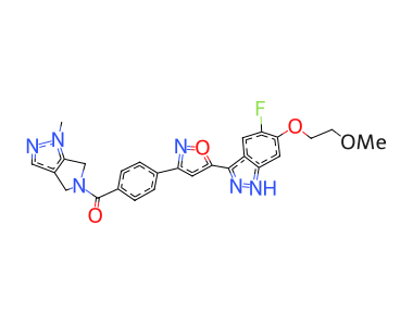 COCCOc1cc2[nH]nc(-c3cc(-c4ccc(C(=O)N5Cc6cnn(C)c6C5)cc4)no3)c2cc1F